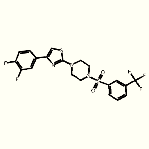 O=S(=O)(c1cccc(C(F)(F)F)c1)N1CCN(c2nc(-c3ccc(F)c(F)c3)cs2)CC1